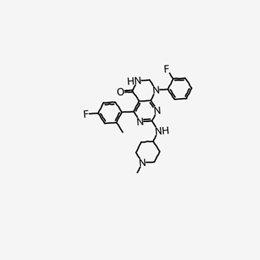 Cc1cc(F)ccc1-c1nc(NC2CCN(C)CC2)nc2c1C(=O)NCN2c1ccccc1F